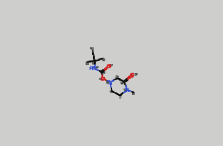 CN1CCN(OC(=O)NC(C)(C)C)CC1=O